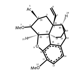 C=C[C@]12C[C@H](C(C)=O)C(OC)[C@@H]3Oc4c(OC)ccc5c4[C@@]31CCC[C@@H]2C5